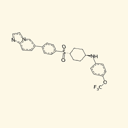 O=S(=O)(c1ccc(-c2ccc3nccn3c2)cc1)[C@H]1CC[C@H](Nc2ccc(OC(F)(F)F)cc2)CC1